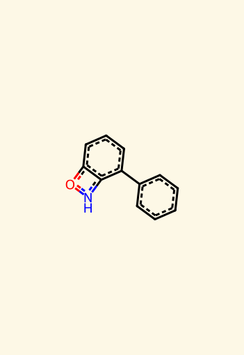 c1ccc(-c2cccc3o[nH]c23)cc1